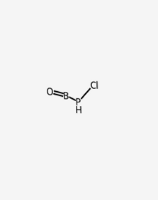 O=BPCl